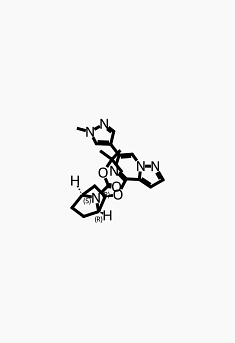 Cn1cc(-c2cn3nccc3c(O[C@@H]3C[C@@H]4CC[C@H]3N4C(=O)OC(C)(C)C)n2)cn1